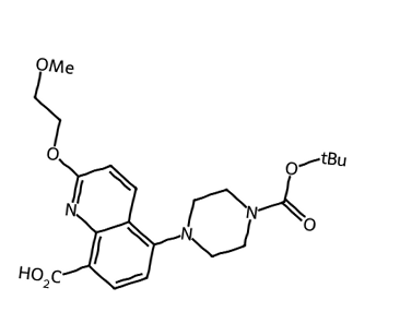 COCCOc1ccc2c(N3CCN(C(=O)OC(C)(C)C)CC3)ccc(C(=O)O)c2n1